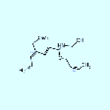 C=C/C=C(\C=CC(NCO)OC/C=C\C)COC